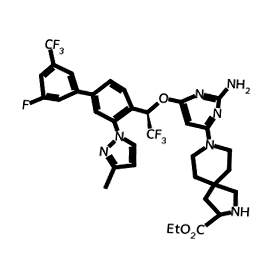 CCOC(=O)C1CC2(CCN(c3cc(O[C@H](c4ccc(-c5cc(F)cc(C(F)(F)F)c5)cc4-n4ccc(C)n4)C(F)(F)F)nc(N)n3)CC2)CN1